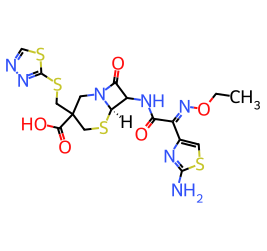 CCON=C(C(=O)NC1C(=O)N2CC(CSc3nncs3)(C(=O)O)CS[C@H]12)c1csc(N)n1